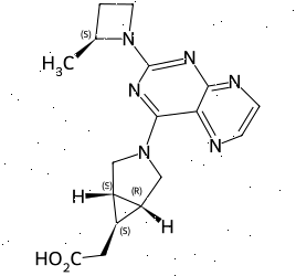 C[C@H]1CCN1c1nc(N2C[C@@H]3[C@@H](CC(=O)O)[C@@H]3C2)c2nccnc2n1